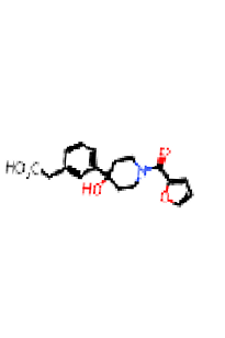 O=C(O)Cc1cccc(C2(O)CCN(C(=O)c3ccco3)CC2)c1